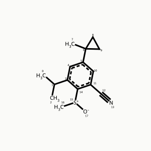 CC(C)c1cc(C2(C)CC2)cc(C#N)c1[S+](C)[O-]